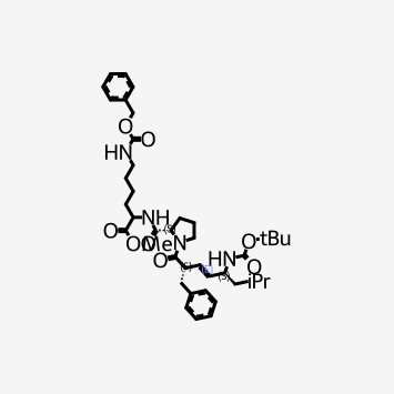 COC(=O)C(CCCCNC(=O)OCc1ccccc1)NC(=O)[C@@H]1CCCN1C(=O)[C@H](/C=C/[C@H](CC(C)C)NC(=O)OC(C)(C)C)Cc1ccccc1